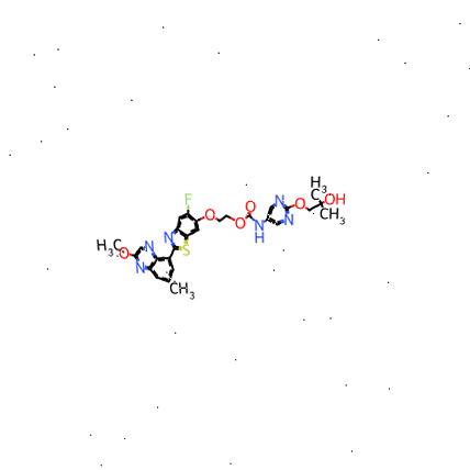 COc1cnc2c(-c3nc4cc(F)c(OCCOC(=O)Nc5cnc(OCC(C)(C)O)nc5)cc4s3)cc(C)cc2n1